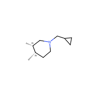 C[C@@H]1CN(CC2CC2)CC[C@@H]1C